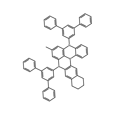 Cc1cc2c3c(c1)N(c1cc(-c4ccccc4)cc(-c4ccccc4)c1)c1cc4c(cc1B3c1ccccc1N2c1cc(-c2ccccc2)cc(-c2ccccc2)c1)CCCC4